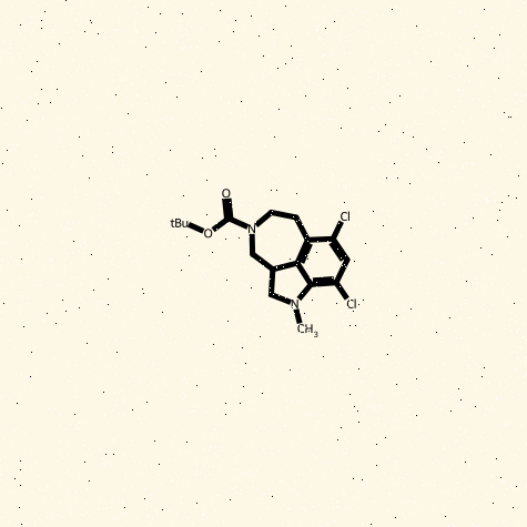 CN1CC2CN(C(=O)OC(C)(C)C)CCc3c(Cl)cc(Cl)c1c32